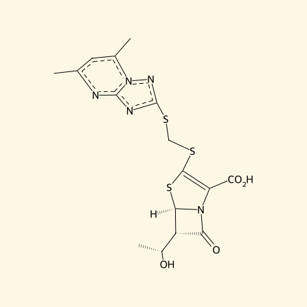 Cc1cc(C)n2nc(SCSC3=C(C(=O)O)N4C(=O)[C@H]([C@@H](C)O)[C@H]4S3)nc2n1